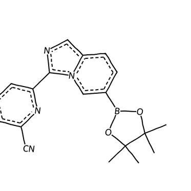 CC1(C)OB(c2ccc3cnc(-c4cccc(C#N)n4)n3c2)OC1(C)C